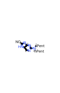 CCCCCN(CCCCC)c1ncc2[nH]c(C#N)nc2n1